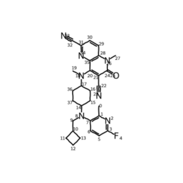 Cc1nc(F)ccc1N(CC1CCC1)C1CCC(N(C)c2c(C#N)c(=O)n(C)c3ccc(C#N)nc23)CC1